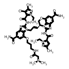 CCn1nc(C)cc1C(=O)Nc1nc2cc(C(N)=O)cc3c2n1[C@@H](/C=C/Cn1c(NC(=O)c2c(Cl)c(C)nn2CC)nc2cc(C(N)=O)cc(OCCCNC(=O)CN(C)C)c21)CO3